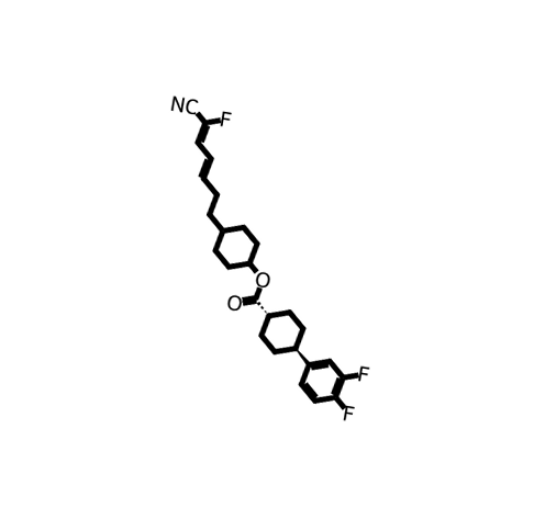 N#CC(F)=C/C=C/CCC1CCC(OC(=O)[C@H]2CC[C@H](c3ccc(F)c(F)c3)CC2)CC1